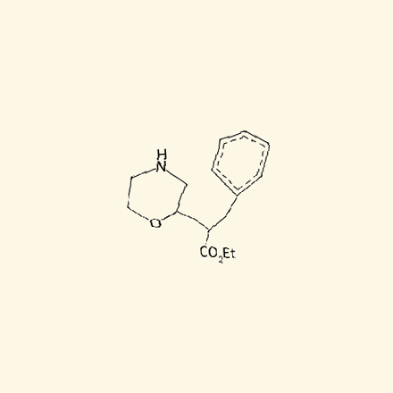 CCOC(=O)C(Cc1ccccc1)C1CNCCO1